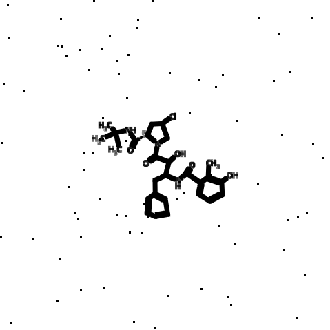 Cc1c(O)cccc1C(=O)NC(Cc1ccccc1)C(O)C(=O)N1CC(Cl)C[C@H]1C(=O)NC(C)(C)C